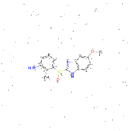 CCOc1ccc2[nH]c([S+]([O-])c3cccc(N)c3C)nc2c1